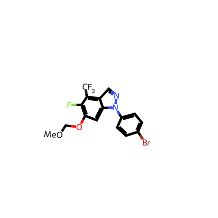 COCOc1cc2c(cnn2-c2ccc(Br)cc2)c(C(F)(F)F)c1F